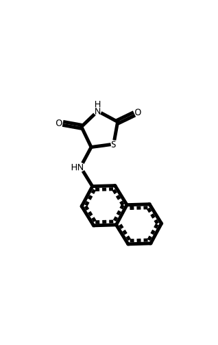 O=C1NC(=O)C(Nc2ccc3ccccc3c2)S1